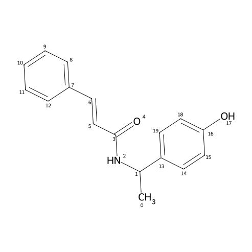 CC(NC(=O)C=Cc1ccccc1)c1ccc(O)cc1